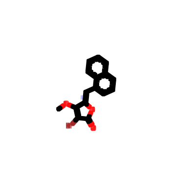 COC1=C(Br)C(=O)O/C1=C\c1cccc2ccccc12